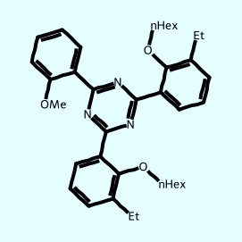 CCCCCCOc1c(CC)cccc1-c1nc(-c2ccccc2OC)nc(-c2cccc(CC)c2OCCCCCC)n1